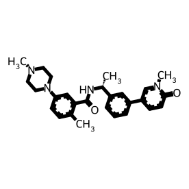 Cc1ccc(N2CCN(C)CC2)cc1C(=O)N[C@H](C)c1cccc(-c2ccc(=O)n(C)c2)c1